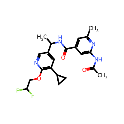 CC(=O)Nc1cc(C(=O)NC(C)c2cnc(OCC(F)F)c(C3CC3)c2)cc(C)n1